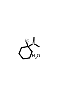 CCC1(N(C)C)CCCCC1.O